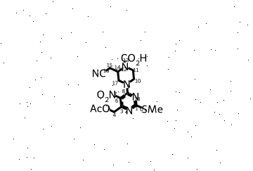 CSc1nc(COC(C)=O)c([N+](=O)[O-])c(N2CCN(C(=O)O)C(CC#N)C2)n1